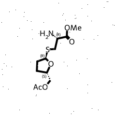 COC(=O)[C@@H](N)CS[C@@H]1CC[C@@H](COC(C)=O)O1